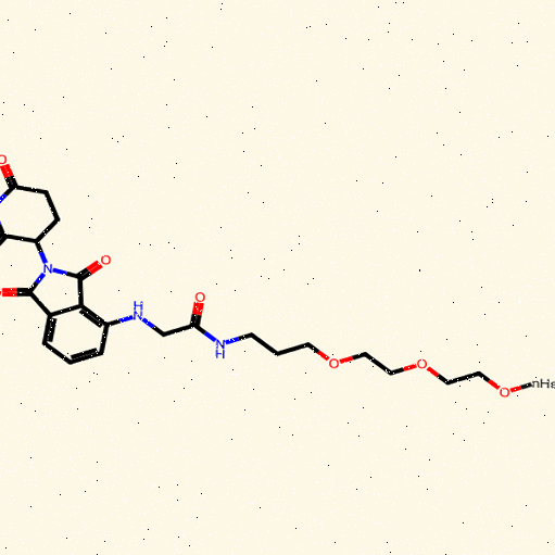 CCCCCCCOCCOCCOCCCNC(=O)CNc1cccc2c1C(=O)N(C1CCC(=O)NC1=O)C2=O